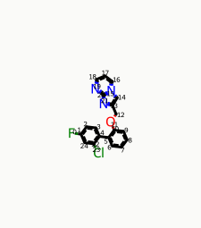 Fc1ccc(-c2ccccc2OCc2cn3cccnc3n2)c(Cl)c1